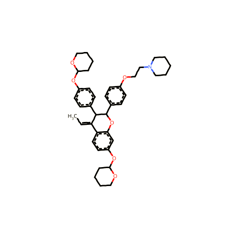 C/C=C1/c2ccc(OC3CCCCO3)cc2OC(c2ccc(OCCN3CCCCC3)cc2)C1c1ccc(OC2CCCCO2)cc1